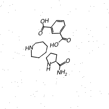 C1CCCNCC1.NC(=O)[C@@H]1CCCN1.O=C(O)c1cccc(C(=O)O)c1